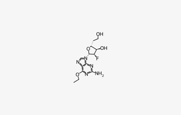 CCOc1nc(N)nc2c1ncn2[C@@H]1O[C@H](CCO)[C@@H](O)[C@H]1F